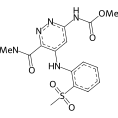 CNC(=O)c1nnc(NC(=O)OC)cc1Nc1ccccc1S(C)(=O)=O